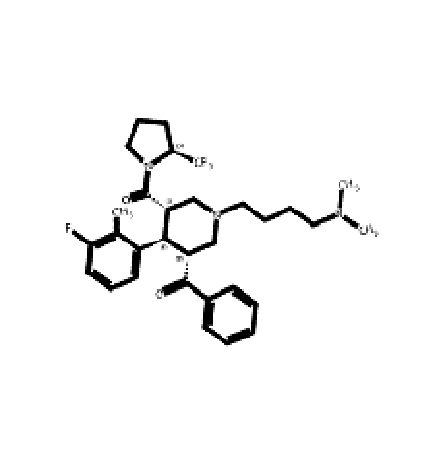 Cc1c(F)cccc1[C@@H]1[C@@H](C(=O)c2ccccc2)CN(CCCCN(C)C)C[C@H]1C(=O)N1CCC[C@H]1C(F)(F)F